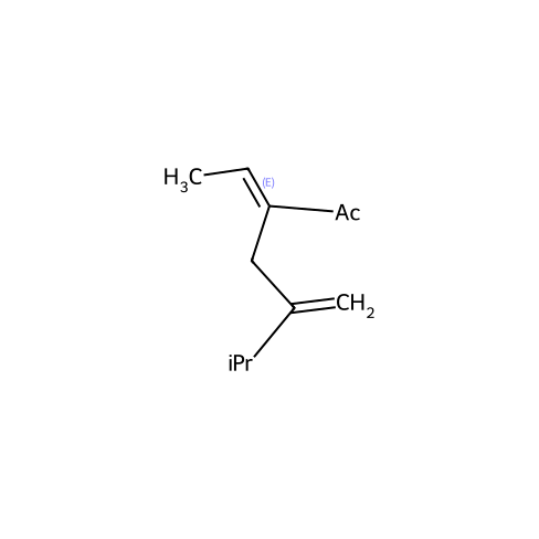 C=C(C/C(=C\C)C(C)=O)C(C)C